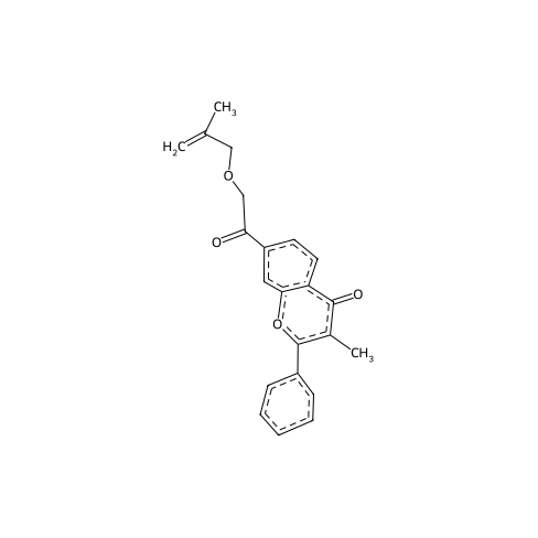 C=C(C)COCC(=O)c1ccc2c(=O)c(C)c(-c3ccccc3)oc2c1